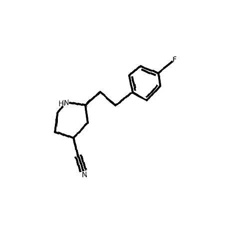 N#CC1CCNC(CCc2ccc(F)cc2)C1